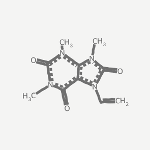 C=Cn1c(=O)n(C)c2c1c(=O)n(C)c(=O)n2C